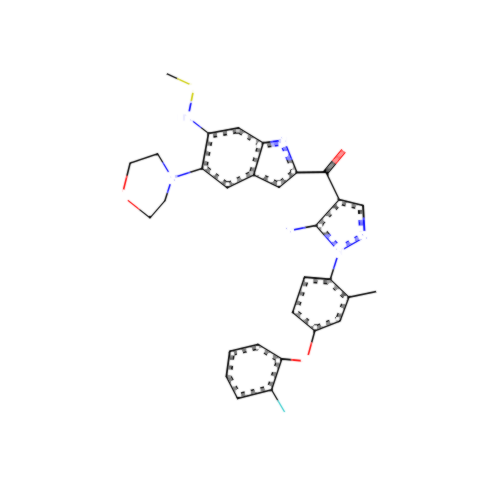 CSNc1cc2[nH]c(C(=O)c3cnn(-c4ccc(Oc5ccccc5F)cc4C)c3N)cc2cc1N1CCOCC1